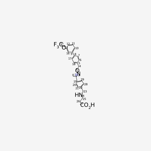 C/C(=N\OCc1ccc(-c2cccc(OC(F)(F)F)c2)cc1)c1ccc(CNCCC(=O)O)cc1